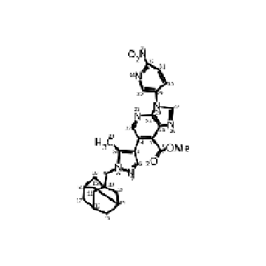 COC(=O)c1c(-c2cnn(CC34CC5CC(CC(C5)C3)C4)c2C)cnc2c1ncn2-c1ccc([N+](=O)[O-])nc1